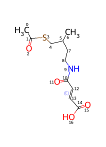 CC(=O)SCC(C)CCNC(=O)/C=C/C(=O)O